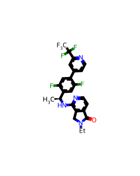 CCN1Cc2c(ccnc2N[C@@H](C)c2cc(F)c(-c3ccnc(C(F)(F)C(F)(F)F)c3)cc2F)C1=O